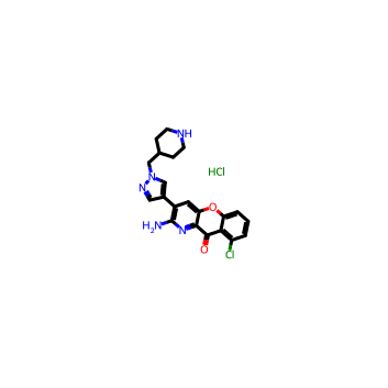 Cl.Nc1nc2c(=O)c3c(Cl)cccc3oc2cc1-c1cnn(CC2CCNCC2)c1